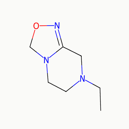 CCN1CCN2CON=C2C1